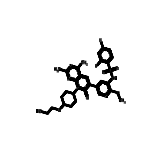 COc1ncc(-c2cc3c(C)nc(N)nc3n(C3CCC(OCCO)CC3)c2=O)cc1NS(=O)(=O)c1ccc(F)cc1F